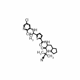 Cc1ncc(Cl)cc1NC(C)c1ccc(C(=O)NC(CC2CCCC2)C(=O)NC(C)(C)C#N)s1